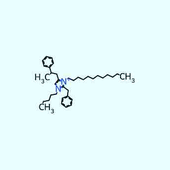 CCCCCCCCCCCC[n+]1c(CC(C)c2ccccc2)cn(CCCCC)c1Cc1ccccc1